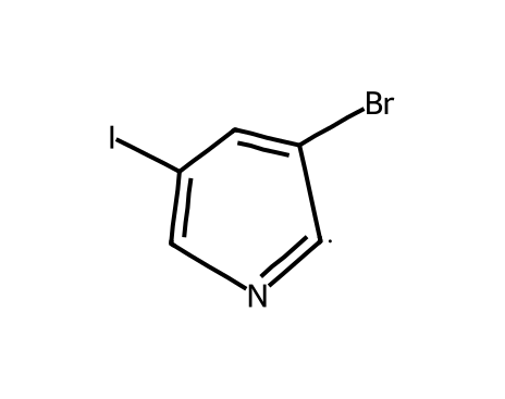 Brc1[c]ncc(I)c1